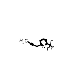 [CH2]C#CCc1cccc(C(F)(F)F)n1